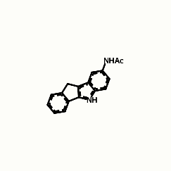 CC(=O)Nc1ccc2[nH]c3c(c2c1)Cc1ccccc1-3